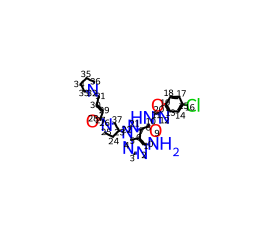 Nc1ncnc2c1c(C(=O)Nc1nc3cc(Cl)ccc3o1)nn2C1CCN(C(=O)C=CCN2CCCC2)C1